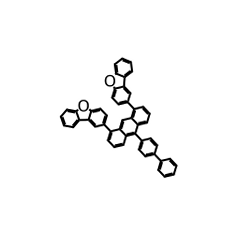 c1ccc(-c2ccc(-c3c4cccc(-c5ccc6oc7ccccc7c6c5)c4cc4c(-c5ccc6oc7ccccc7c6c5)cccc34)cc2)cc1